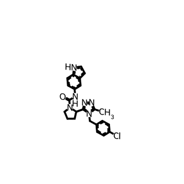 Cc1nnc(C2CCCN2C(=O)Nc2ccc3[nH]ccc3c2)n1Cc1ccc(Cl)cc1